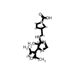 Cc1noc(C)c1-c1ncnc(NCC2CCN(C(=O)O)C2)c1C